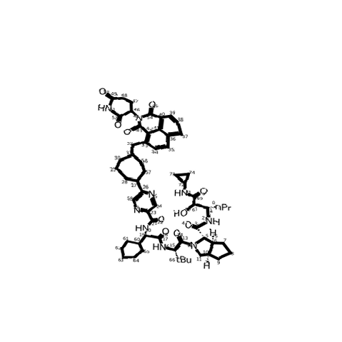 CCC[C@H](NC(=O)[C@@H]1[C@H]2CCC[C@H]2CN1C(=O)[C@@H](NC(=O)[C@@H](NC(=O)c1cnc(C2CCCC(Cc3ccc4cccc5c4c3C(=O)N(C3CCC(=O)NC3=O)C5=O)CC2)cn1)C1CCCCC1)C(C)(C)C)C(O)C(=O)NC1CC1